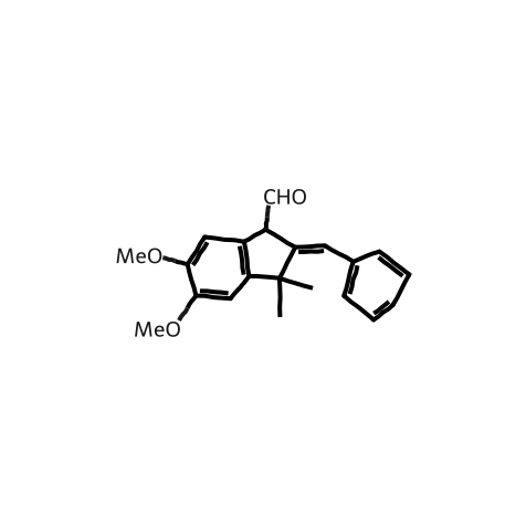 COc1cc2c(cc1OC)C(C)(C)C(=Cc1ccccc1)C2C=O